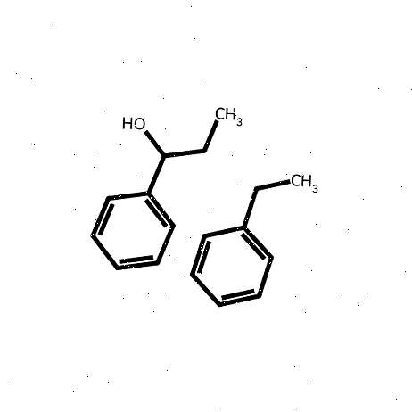 CCC(O)c1ccccc1.CCc1ccccc1